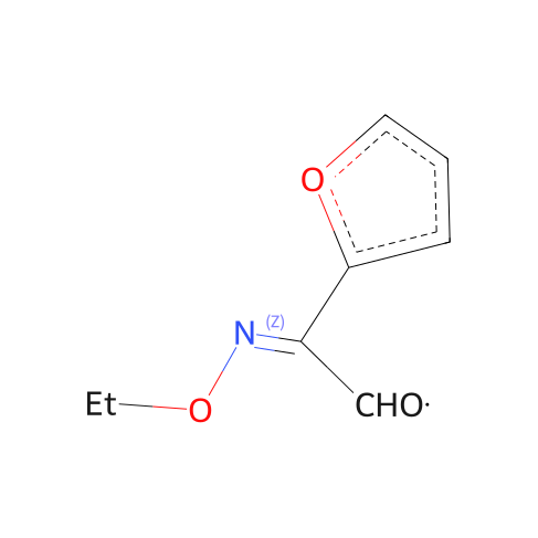 CCO/N=C(\[C]=O)c1ccco1